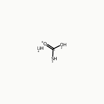 O=C(O)S.[LiH]